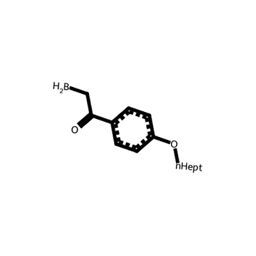 BCC(=O)c1ccc(OCCCCCCC)cc1